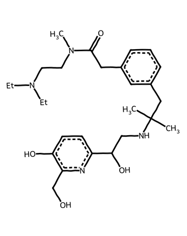 CCN(CC)CCN(C)C(=O)Cc1cccc(CC(C)(C)NCC(O)c2ccc(O)c(CO)n2)c1